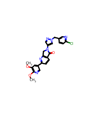 COc1cc(-c2ccc3c(n2)CN(c2cnn(Cc4ccc(Cl)nc4)c2)C3=O)cnc1OC